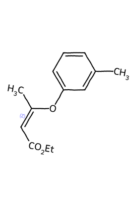 CCOC(=O)/C=C(/C)Oc1cccc(C)c1